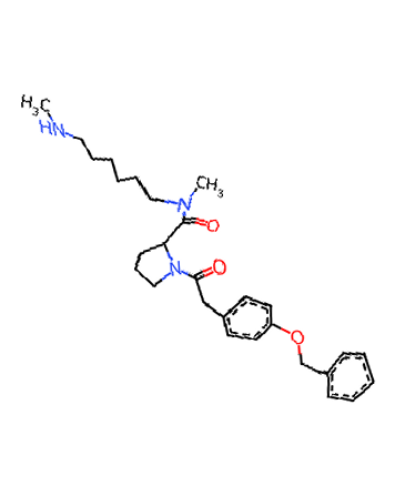 CNCCCCCCN(C)C(=O)C1CCCN1C(=O)Cc1ccc(OCc2ccccc2)cc1